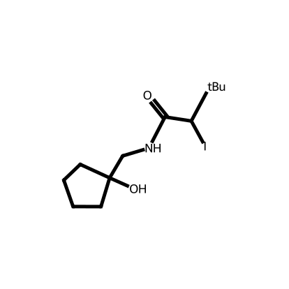 CC(C)(C)C(I)C(=O)NCC1(O)CCCC1